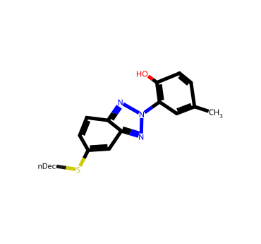 CCCCCCCCCCSc1ccc2nn(-c3cc(C)ccc3O)nc2c1